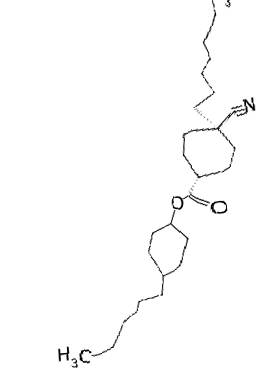 CCCCCCC[C@]1(C#N)CC[C@H](C(=O)OC2CCC(CCCCCC)CC2)CC1